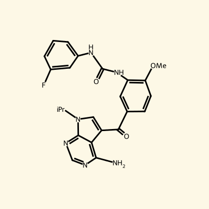 COc1ccc(C(=O)c2cn(C(C)C)c3ncnc(N)c23)cc1NC(=O)Nc1cccc(F)c1